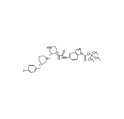 CC(C)(C)OC(=O)n1ncc2cc(NC(=O)N[C@@H]3CCNC[C@H]3CN3CCC[C@@H](Cc4ccc(F)cc4)C3)ccc21